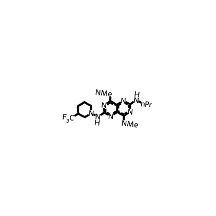 CCCNc1nc(NC)c2nc(NN3CCCC(C(F)(F)F)C3)nc(NC)c2n1